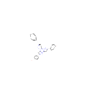 COc1ccc(-c2cc3n(n2)c2cc(-c4ccc(OC)cc4)nn2c2cc(-c4ccc(OC)cc4)nn32)cc1